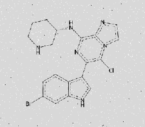 Clc1c(-c2c[nH]c3cc(Br)ccc23)nc(N[C@H]2CCCNC2)c2nccn12